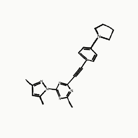 Cc1cc(C)n(-c2nc(C)nc(C#Cc3ccc(N4CCCC4)cc3)n2)n1